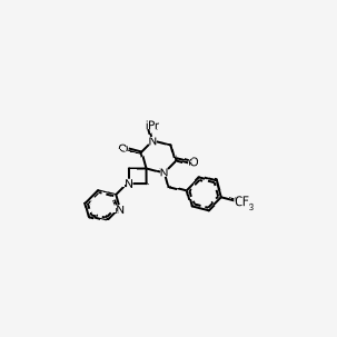 CC(C)N1CC(=O)N(Cc2ccc(C(F)(F)F)cc2)C2(CN(c3ccccn3)C2)C1=O